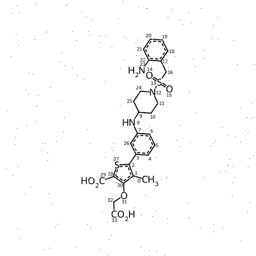 Cc1c(-c2cccc(NC3CCN(S(=O)(=O)Cc4ccccc4N)CC3)c2)sc(C(=O)O)c1OCC(=O)O